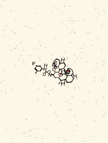 Cc1cc(F)cc(NC(=O)O/N=C(/C[C@H]2O[C@@H]3O[C@]4(C)CC[C@H]5[C@H](C)CC[C@@H]([C@H]2C)[C@@]35OO4)[C@H]2O[C@@H]3O[C@]4(C)CC[C@H]5[C@H](C)CC[C@@H]([C@H]2C)[C@@]35OO4)c1